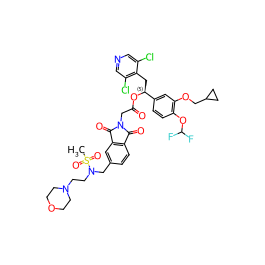 CS(=O)(=O)N(CCN1CCOCC1)Cc1ccc2c(c1)C(=O)N(CC(=O)O[C@@H](Cc1c(Cl)cncc1Cl)c1ccc(OC(F)F)c(OCC3CC3)c1)C2=O